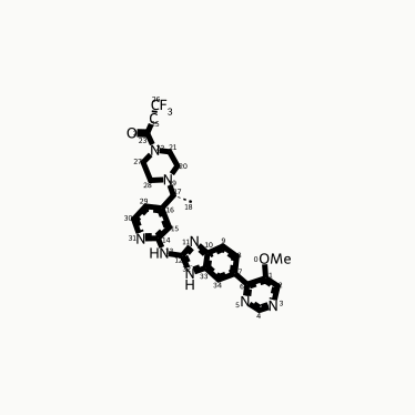 COc1cncnc1-c1ccc2nc(Nc3cc([C@@H](C)N4CCN(C(=O)CC(F)(F)F)CC4)ccn3)[nH]c2c1